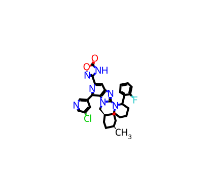 C[C@H]1CC[C@H](Cn2c(N3CCCCC3c3ccccc3F)nc3cc(-c4noc(=O)[nH]4)nc(-c4cncc(Cl)c4)c32)CC1